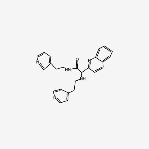 O=C(NCCc1cccnc1)C(NCCc1ccncc1)c1ccc2ccccc2n1